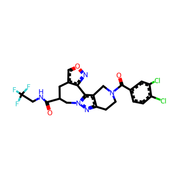 O=C(NCC(F)(F)F)C1Cc2conc2-c2c3c(nn2C1)CCN(C(=O)c1ccc(Cl)c(Cl)c1)C3